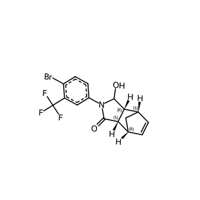 O=C1[C@@H]2[C@H](C(O)N1c1ccc(Br)c(C(F)(F)F)c1)[C@@H]1C=C[C@H]2C1